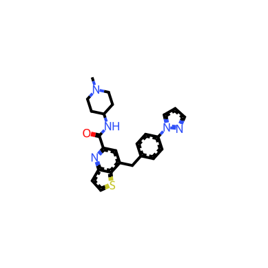 CN1CCC(NC(=O)c2cc(Cc3ccc(-n4cccn4)cc3)c3sccc3n2)CC1